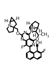 C#Cc1c(F)ccc2cccc(-c3nc4c5c(nc(OCC67CCCN6[C@H]6C[C@H]6C7)nc5c3F)N3C[C@H]5CC[C@H](N5)[C@H]3[C@H](C)O4)c12